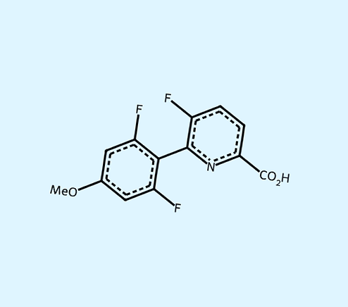 COc1cc(F)c(-c2nc(C(=O)O)ccc2F)c(F)c1